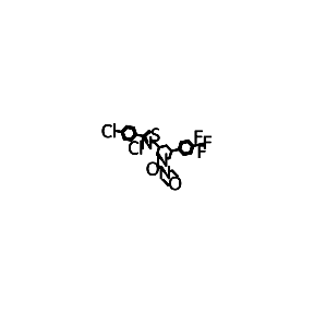 O=C(N1CCOCC1)N1CC(c2ccc(C(F)(F)F)cc2)CC(c2nc(-c3ccc(Cl)cc3Cl)cs2)C1